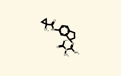 CN1C(=O)C[C@]2(CCc3ccc(NC(=O)C4(C(F)(F)F)CC4)cc32)N=C1N